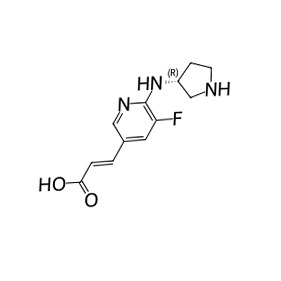 O=C(O)C=Cc1cnc(N[C@@H]2CCNC2)c(F)c1